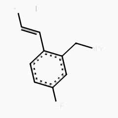 CC(C)Cc1cc(C(F)(F)F)ccc1C=CC(=O)O